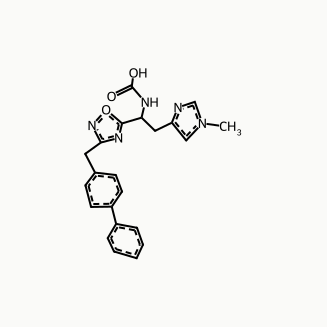 Cn1cnc(CC(NC(=O)O)c2nc(Cc3ccc(-c4ccccc4)cc3)no2)c1